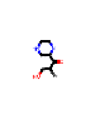 CCC(CO)C(=O)C1CNCC[N]1